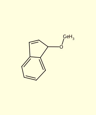 [GeH3][O]C1C=Cc2ccccc21